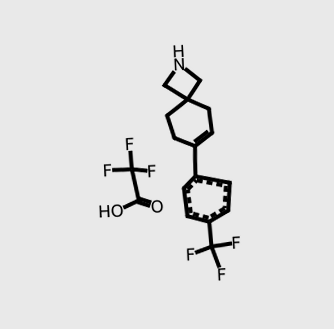 FC(F)(F)c1ccc(C2=CCC3(CC2)CNC3)cc1.O=C(O)C(F)(F)F